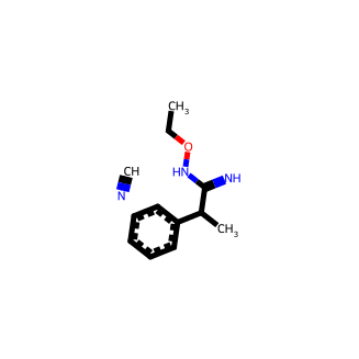 C#N.CCONC(=N)C(C)c1ccccc1